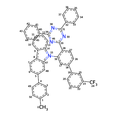 Cc1ccc(-c2ccc3c4ccccc4n(-c4cc(-c5cccc(C(F)(F)F)c5)ccc4-c4nc(-c5ccccc5)nc(-c5ccccc5)n4)c3c2)cc1